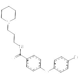 CCc1ccc(Oc2ccc(C(=O)NCCCN3CCCCC3)cc2)cc1